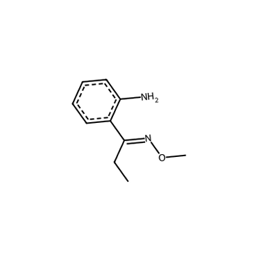 CCC(=NOC)c1ccccc1N